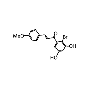 COc1ccc(/C=C/C(=O)c2cc(O)cc(O)c2Br)cc1